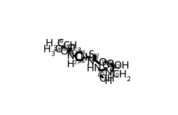 C=C(NC(=O)[C@H](CO)NC(=O)c1csc(N2CCC(NC(=O)OC(C)(C)C)CC2)n1)C(=O)O